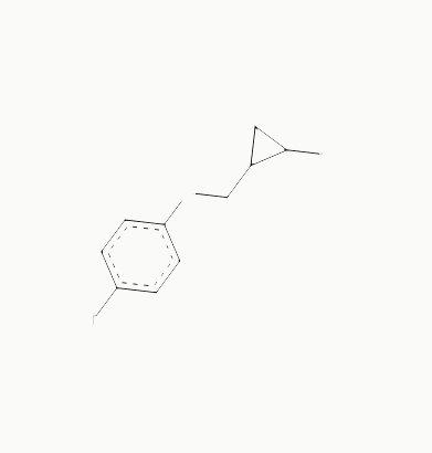 CC1CC1COc1[c]cc(Cl)cc1